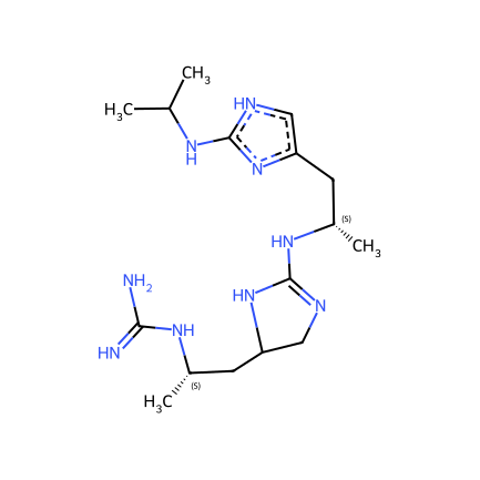 CC(C)Nc1nc(C[C@H](C)NC2=NCC(C[C@H](C)NC(=N)N)N2)c[nH]1